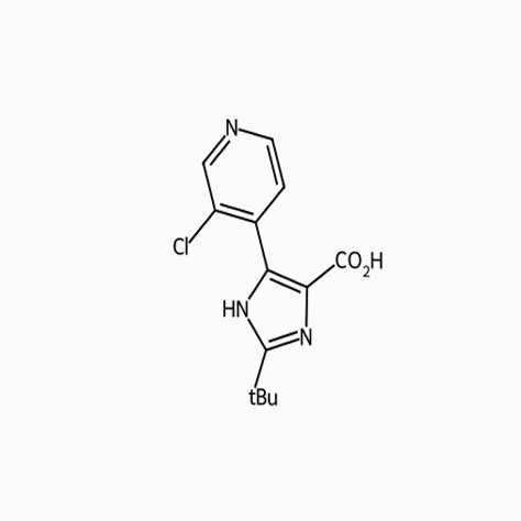 CC(C)(C)c1nc(C(=O)O)c(-c2ccncc2Cl)[nH]1